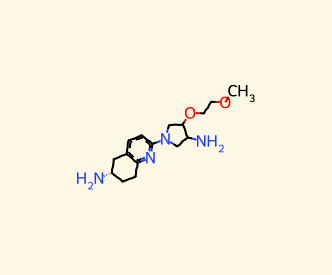 COCCOC1CN(c2ccc3c(n2)CC[C@H](N)C3)CC1N